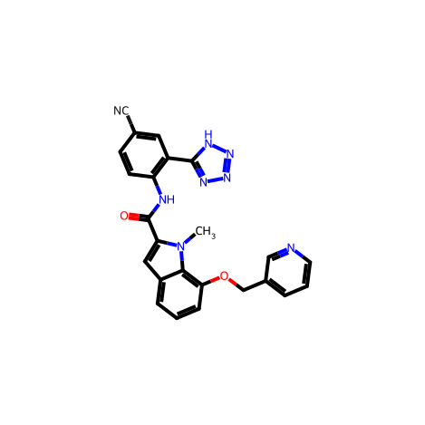 Cn1c(C(=O)Nc2ccc(C#N)cc2-c2nnn[nH]2)cc2cccc(OCc3cccnc3)c21